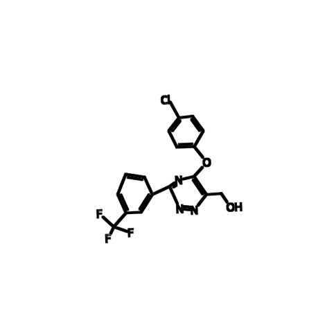 OCc1nnc(-c2cccc(C(F)(F)F)c2)nc1Oc1ccc(Cl)cc1